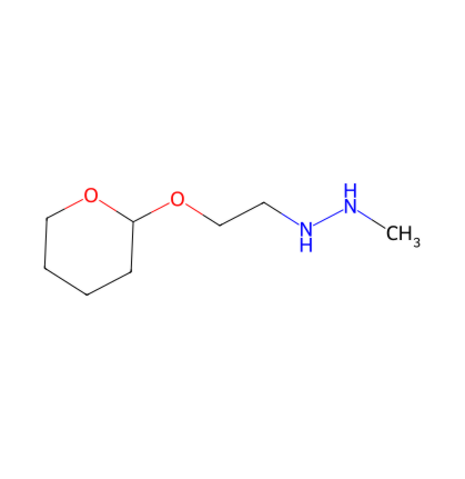 CNNCCOC1CCCCO1